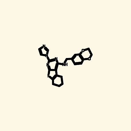 c1cn(-c2nc(NCc3ccc4c(c3)OCCO4)c3c4c(sc3n2)CCCC4)cn1